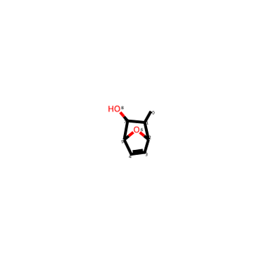 CC1C2C=CC(O2)C1O